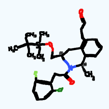 C[C@H]1c2cccc(CC=O)c2C[C@H](CO[Si](C)(C)C(C)(C)C)N1C(=O)Cc1c(F)cccc1Cl